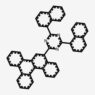 c1ccc2c(-c3nc(-c4cccc5ccccc45)nc(-c4cc5c6ccccc6c6ccccc6c5c5ccccc45)n3)cccc2c1